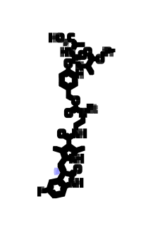 CCN(CCNC(=O)c1c(C)[nH]c(/C=C2\C(=O)Nc3ccc(F)cc32)c1C)C(=O)OCc1ccc(OP(=O)(NC(C)C(=O)O)NC(C)C(=O)OC(C)C)cc1